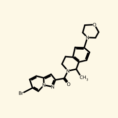 CC1c2ccc(N3CCOCC3)cc2CCN1C(=O)c1cc2ccc(Br)cn2n1